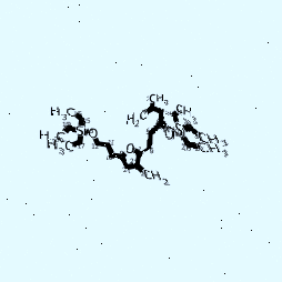 C=C(C)CC(CC[C@@H]1OC(CCCO[Si](CC)(CC)CC)CC1=C)O[Si](CC)(CC)CC